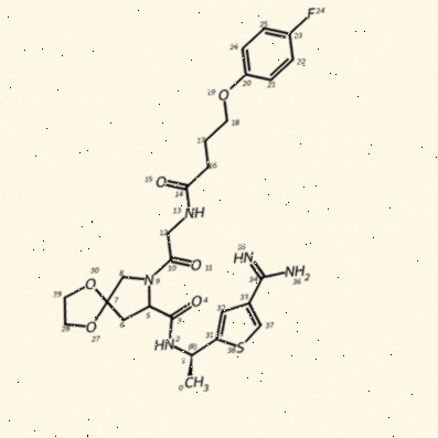 C[C@@H](NC(=O)C1CC2(CN1C(=O)CNC(=O)CCCOc1ccc(F)cc1)OCCO2)c1cc(C(=N)N)cs1